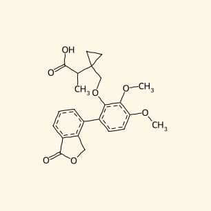 COc1ccc(-c2cccc3c2COC3=O)c(OCC2(C(C)C(=O)O)CC2)c1OC